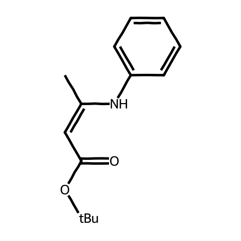 C/C(=C/C(=O)OC(C)(C)C)Nc1ccccc1